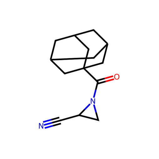 N#CC1CN1C(=O)C12CC3CC(CC(C3)C1)C2